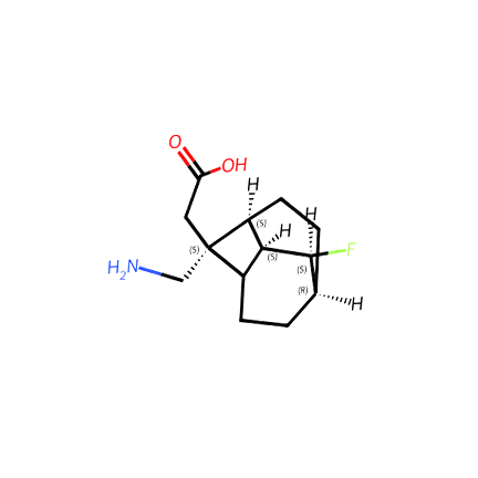 NC[C@@]1(CC(=O)O)C2CC[C@@H]3CC[C@H]1[C@H]2[C@H]3F